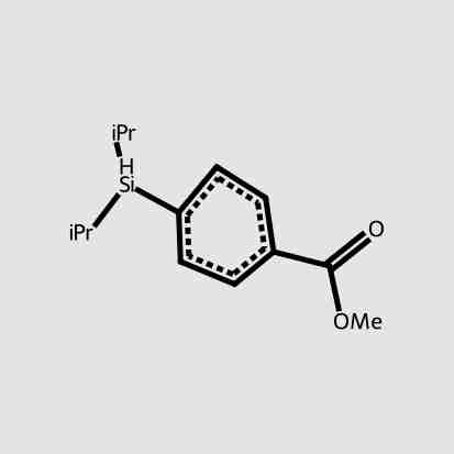 COC(=O)c1ccc([SiH](C(C)C)C(C)C)cc1